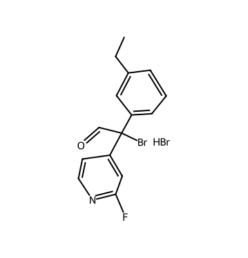 Br.CCc1cccc(C(Br)(C=O)c2ccnc(F)c2)c1